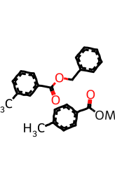 COC(=O)c1ccc(C)cc1.Cc1cccc(C(=O)OCc2ccccc2)c1